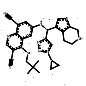 CC(C)(C)CNc1c(C#N)cnc2c(C#N)cc(N[C@H](c3cn(C4CC4)nn3)c3csc4c3CCNC4)cc12